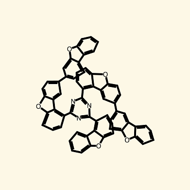 c1ccc2c(c1)oc1cc(-c3ccc4oc5cccc(-c6nc(-c7cccc8oc9ccccc9c78)nc(-c7cccc8oc9ccc(-c%10ccc%11oc%12ccccc%12c%11c%10)cc9c78)n6)c5c4c3)ccc12